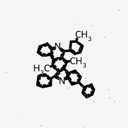 Cc1c2c(-c3ccccc3)nc3cc(-c4ccccc4)ccc3c2c(C)c2c(C3=CC=CC(C)C3)nc3ccccc3c12